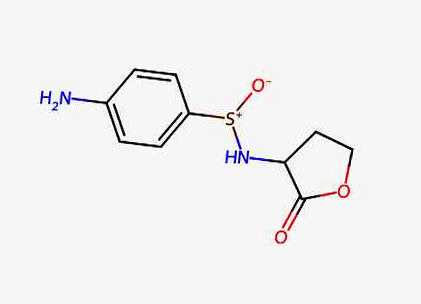 Nc1ccc([S+]([O-])NC2CCOC2=O)cc1